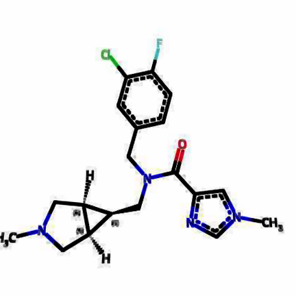 CN1C[C@@H]2[C@H](C1)[C@@H]2CN(Cc1ccc(F)c(Cl)c1)C(=O)c1cn(C)cn1